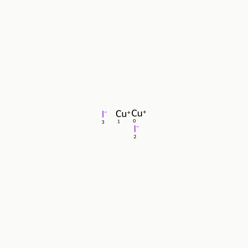 [Cu+].[Cu+].[I-].[I-]